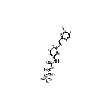 Cc1cccc(/C=C/c2cccc(NC(=O)CNC(=O)OC(C)(C)C)c2)n1